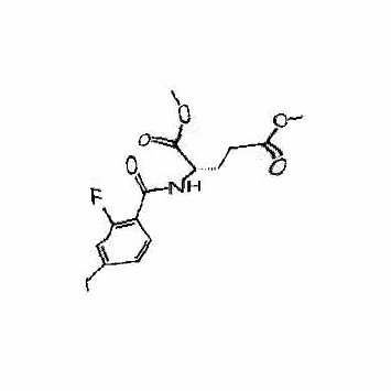 COC(=O)CC[C@H](NC(=O)c1ccc(I)cc1F)C(=O)OC